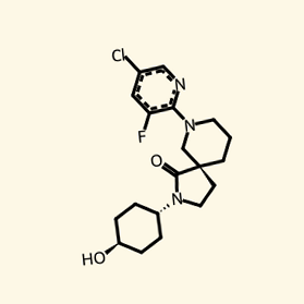 O=C1N([C@H]2CC[C@H](O)CC2)CC[C@@]12CCCN(c1ncc(Cl)cc1F)C2